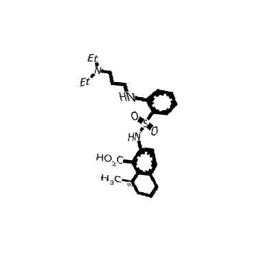 CCN(CC)CCCNc1ccccc1S(=O)(=O)Nc1ccc2c(c1C(=O)O)[C@H](C)CCC2